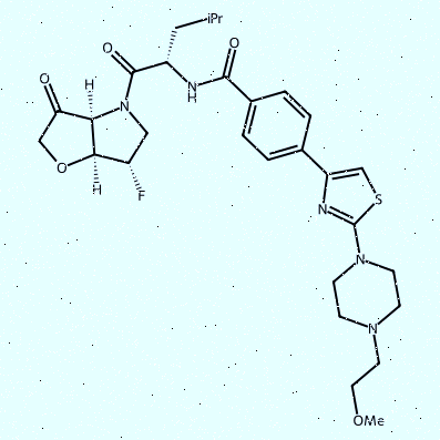 COCCN1CCN(c2nc(-c3ccc(C(=O)N[C@@H](CC(C)C)C(=O)N4C[C@H](F)[C@H]5OCC(=O)[C@H]54)cc3)cs2)CC1